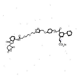 O=C(O)/C=C/c1cc(C(=O)NCc2ccc(OCc3cn(CCOCCOCC(=O)Nc4cccc5c4CN(C4CCC(=O)NC4=O)C5=O)nn3)cc2)cc(-c2ccccc2)c1